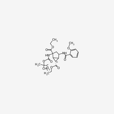 CCOC(=O)[C@H]1C2C(NC(=O)c3ccccc3OC)CC(NC(=O)OC(C)(C)C)(C(=O)OCC)C21